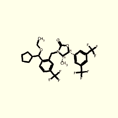 CCOC(c1ccc(C(F)(F)F)cc1CN1C(=O)O[C@H](c2cc(C(F)(F)F)cc(C(F)(F)F)c2)[C@@H]1C)C1CCCC1